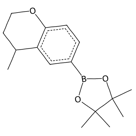 CC1CCOc2ccc(B3OC(C)(C)C(C)(C)O3)cc21